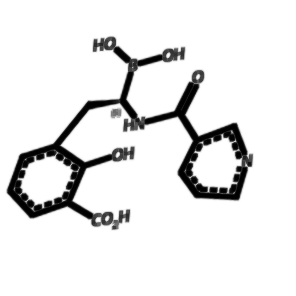 O=C(N[C@@H](Cc1cccc(C(=O)O)c1O)B(O)O)c1cccnc1